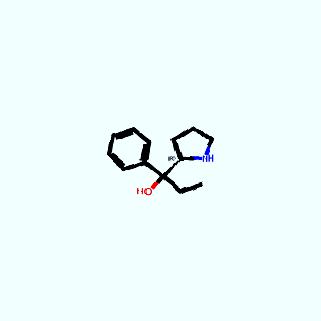 CCC(O)(c1ccccc1)[C@H]1CCCN1